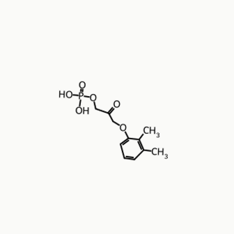 Cc1cccc(OCC(=O)COP(=O)(O)O)c1C